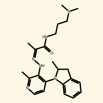 CC(=NNc1c(N2c3ccccc3CC2C)ccnc1C)C(=O)NCCCN(C)C